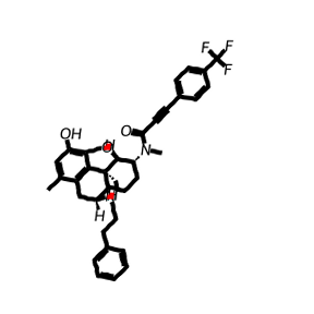 Cc1cc(O)c2c3c1C[C@@H]1[C@@H]4CC[C@@H](N(C)C(=O)C#Cc5ccc(C(F)(F)F)cc5)[C@H](O2)[C@]34CCN1CCc1ccccc1